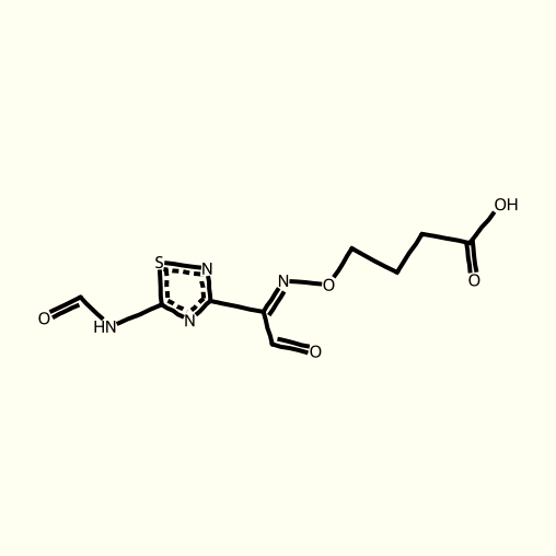 O=CNc1nc(C(C=O)=NOCCCC(=O)O)ns1